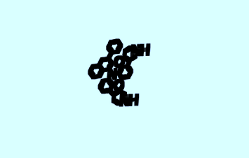 C1=Cc2c(oc3c(N(c4cc(-c5ccccc5)cc5ccccc45)c4cccc5c6c(oc45)C=CNC6)cccc23)CN1